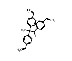 C=Cc1ccc(C(I)C(P)(c2ccc(C=C)cc2)c2ccc(C=C)cc2)cc1